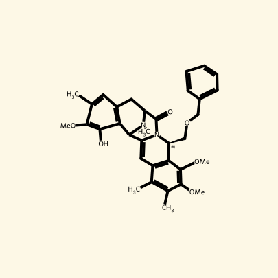 COc1c(C)cc2c(c1O)C1C3=Cc4c(C)c(C)c(OC)c(OC)c4[C@H](COCc4ccccc4)N3C(=O)C(C2)N1C